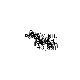 CC[C@H](C)[C@@H]([C@@H](CC(=O)N1CCC[C@H]1[C@H](OC)[C@@H](C)C(=O)N[C@H](C)[C@@H](O)c1ccccc1)OC)N(C)C(=O)[C@@H](NC(=O)[C@H](C(C)C)N(C)C(=O)OCc1ccc(O[C@@H]2OC(C(=O)O)[C@@H](O)C(O)C2O)c(NC(=O)CCN)c1)C(C)C